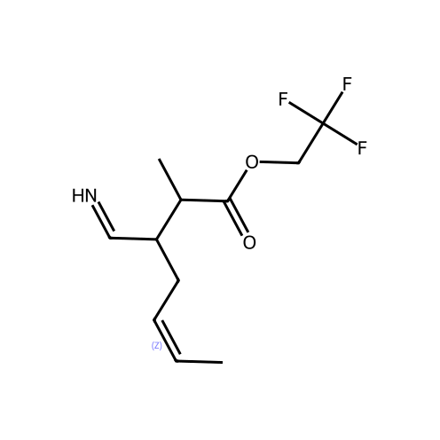 C/C=C\CC(C=N)C(C)C(=O)OCC(F)(F)F